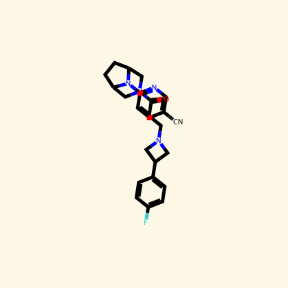 N#Cc1ccc(N2C3CCC2CN(C(=O)CCN2CC(c4ccc(F)cc4)C2)C3)nc1